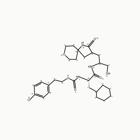 O=C(N[C@@H](CC1CCCCC1)C(=O)NC(CO)CC1CC2(CCOCC2)NC1=O)OCCc1ccc(Cl)cc1